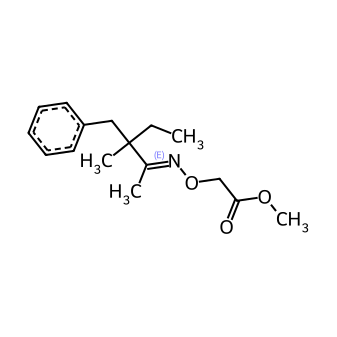 CCC(C)(Cc1ccccc1)/C(C)=N/OCC(=O)OC